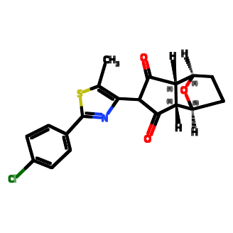 Cc1sc(-c2ccc(Cl)cc2)nc1C1C(=O)[C@@H]2[C@H](C1=O)[C@H]1CC[C@@H]2O1